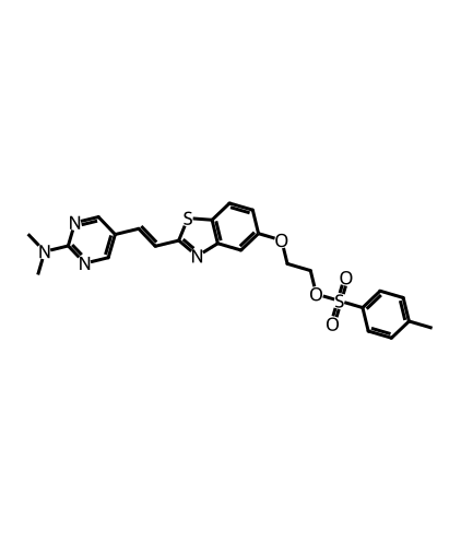 Cc1ccc(S(=O)(=O)OCCOc2ccc3sc(/C=C/c4cnc(N(C)C)nc4)nc3c2)cc1